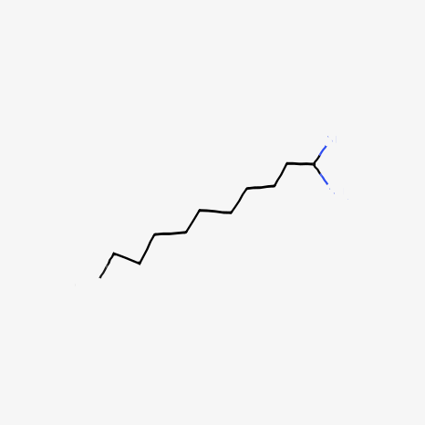 NC(N)CCCCCCCCCC=O